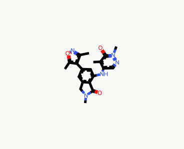 Cc1noc(C)c1-c1cc2c(c(Nc3cnn(C)c(=O)c3C)c1)C(=O)N(C)C2